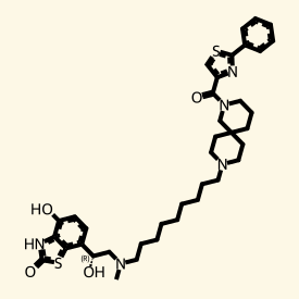 CN(CCCCCCCCCN1CCC2(CCCN(C(=O)c3csc(-c4ccccc4)n3)C2)CC1)C[C@H](O)c1ccc(O)c2[nH]c(=O)sc12